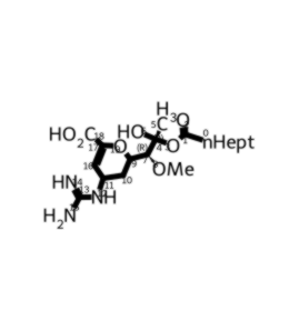 CCCCCCCC(=O)O[C@@](C)(O)[C@H](OC)C1CC(NC(=N)N)C=C(C(=O)O)O1